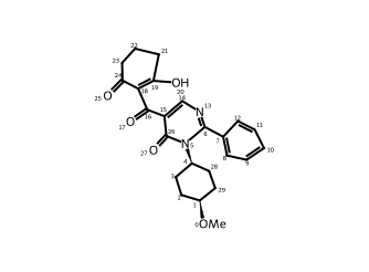 CO[C@H]1CC[C@@H](n2c(-c3ccccc3)ncc(C(=O)C3=C(O)CCCC3=O)c2=O)CC1